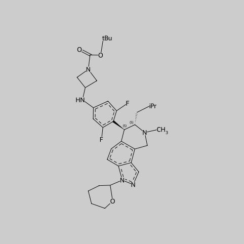 CC(C)C[C@H]1[C@H](c2c(F)cc(NC3CN(C(=O)OC(C)(C)C)C3)cc2F)c2ccc3c(cnn3C3CCCCO3)c2CN1C